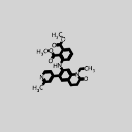 CCN1C(=O)CCc2cc(-c3ccnc(C)c3)c(Nc3cccc(C(=O)OC)c3C(=O)OC)cc21